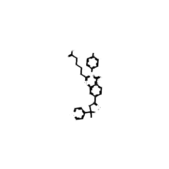 CC1(c2ccncc2)CC(c2ccc3c(=O)n(-c4ccc(F)cc4)c(CCCCC(=O)O)nc3c2)=NO1